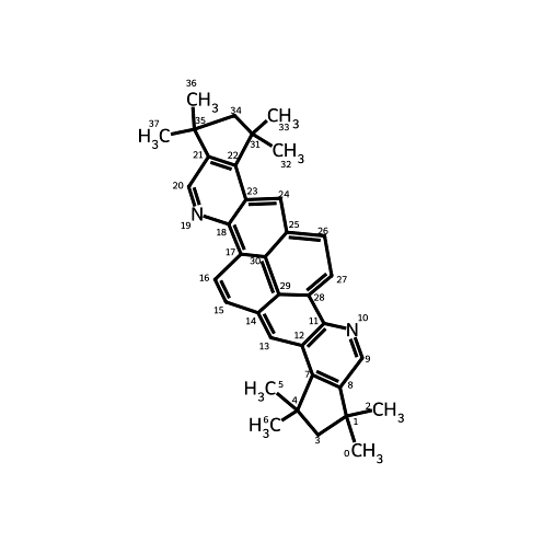 CC1(C)CC(C)(C)c2c1cnc1c2cc2ccc3c4ncc5c(c4cc4ccc1c2c43)C(C)(C)CC5(C)C